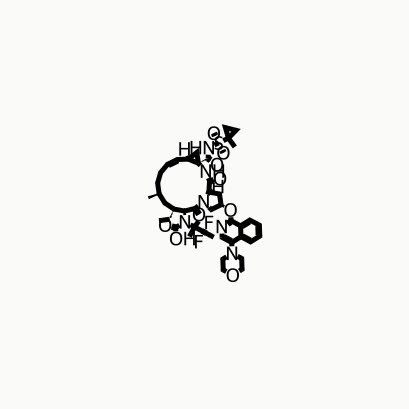 CC[C@@H]1C[C@@H](C)CCC=C[C@@H]2C[C@@]2(C(=O)NS(=O)(=O)C2(C)CC2)NC(=O)[C@@H]2C[C@@H](Oc3ncc(N4CCOCC4)c4ccccc34)CN2C(=O)[C@H]1N(C(=O)O)C(C)(C)C(C)(F)F